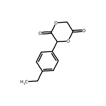 CCc1ccc(C2OC(=O)COC2=O)cc1